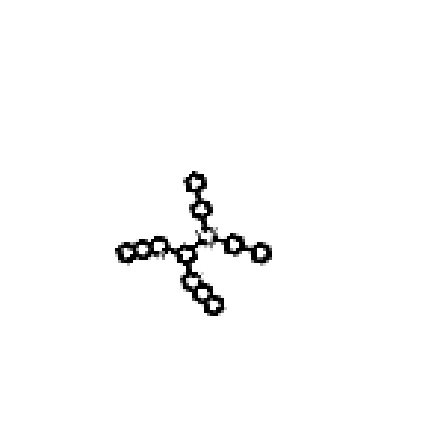 c1ccc(-c2ccc(-c3nc(-c4ccc(-c5ccccc5)cc4)nc(-c4cc(-c5ccc6cc7ccccc7cc6n5)cc(-c5ccc6cc7ccccc7cc6n5)c4)n3)cc2)cc1